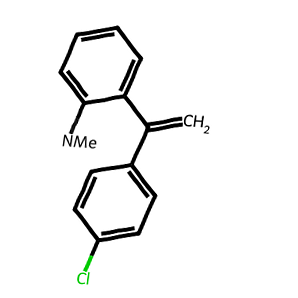 C=C(c1ccc(Cl)cc1)c1ccccc1NC